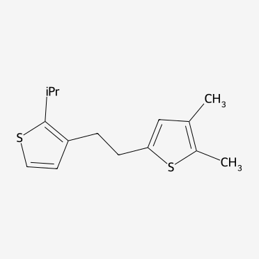 Cc1cc(CCc2ccsc2C(C)C)sc1C